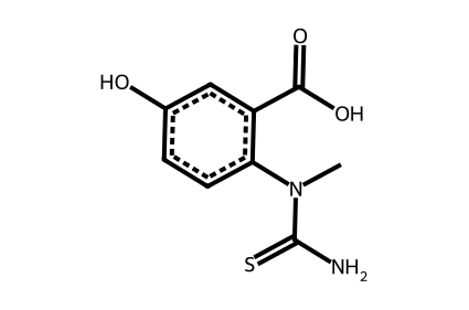 CN(C(N)=S)c1ccc(O)cc1C(=O)O